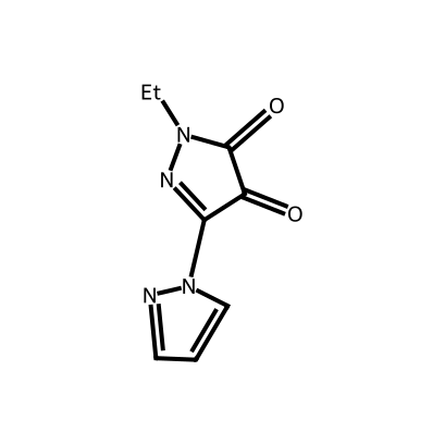 CCN1N=C(n2cccn2)C(=O)C1=O